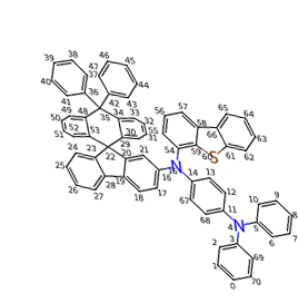 c1ccc(N(c2ccccc2)c2ccc(N(c3ccc4c(c3)C3(c5ccccc5-4)c4ccccc4C(c4ccccc4)(c4ccccc4)c4ccccc43)c3cccc4c3sc3ccccc34)cc2)cc1